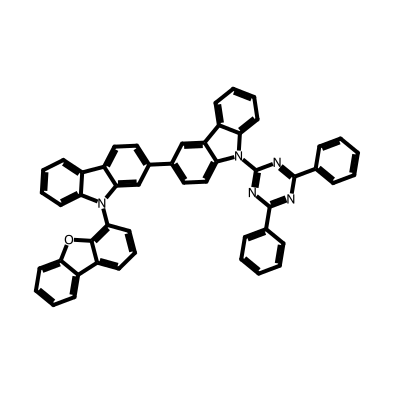 c1ccc(-c2nc(-c3ccccc3)nc(-n3c4ccccc4c4cc(-c5ccc6c7ccccc7n(-c7cccc8c7oc7ccccc78)c6c5)ccc43)n2)cc1